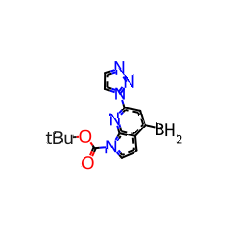 Bc1cc(-n2ccnn2)nc2c1ccn2C(=O)OC(C)(C)C